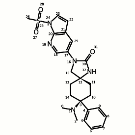 CN(C)[C@]1(c2ccccc2)CC[C@@]2(CC1)CN(c1cnc3c(ccn3S(C)(=O)=O)c1)C(=O)N2